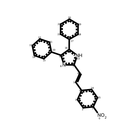 O=[N+]([O-])c1ccc(C=Cc2nc(-c3ccccc3)c(-c3ccccc3)[nH]2)cc1